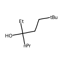 CCCC(O)(CC)CCC(C)(C)C